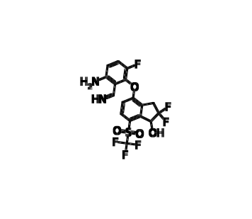 N=Cc1c(N)ccc(F)c1Oc1ccc(S(=O)(=O)C(F)(F)F)c2c1CC(F)(F)C2O